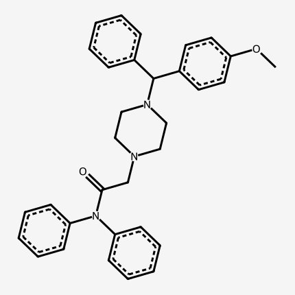 COc1ccc(C(c2ccccc2)N2CCN(CC(=O)N(c3ccccc3)c3ccccc3)CC2)cc1